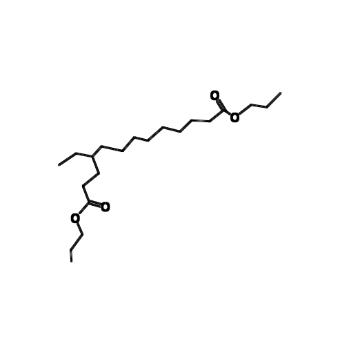 CCCOC(=O)CCCCCCCCC(CC)CCC(=O)OCCC